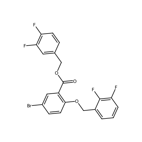 O=C(OCc1ccc(F)c(F)c1)c1cc(Br)ccc1OCc1cccc(F)c1F